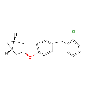 Clc1ccccc1Cc1ccc(O[C@H]2C[C@@H]3C[C@@H]3C2)cc1